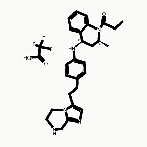 CCC(=O)N1c2ccccc2[C@H](Nc2ccc(CCc3cnc4n3CCNC4)cc2)C[C@@H]1C.O=C(O)C(F)(F)F